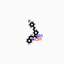 Oc1[nH]c2ccc(C=Cc3ccc(F)cc3)cc2c1-c1ccc2ccccc2n1